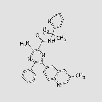 Cc1cnc2ccc(-c3nc(C(=O)NC(C)(C)c4ccccn4)c(N)nc3-c3ccccc3)cc2c1